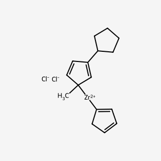 C[C]1([Zr+2][C]2=CC=CC2)C=CC(C2CCCC2)=C1.[Cl-].[Cl-]